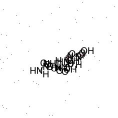 CNCCCCC(NC(=O)COCCOCCNC(=O)CCC(NC(=O)CCC(NC(=O)CC(C)(C)CC(C)(C)CNC(=O)CCCSNC(=O)CC(C)(C)CC(C)(C)CC(=O)O)C(=O)O)C(=O)O)C(N)=O